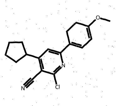 COC1=CC=C(c2cc(C3CCCC3)c(C#N)c(Cl)n2)CC1